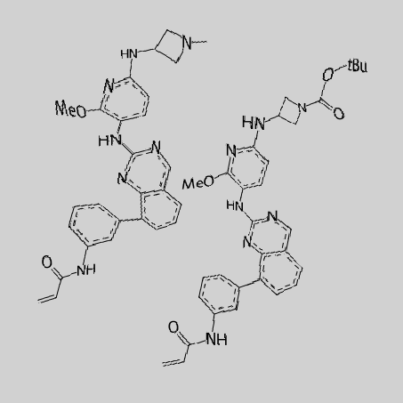 C=CC(=O)Nc1cccc(-c2cccc3cnc(Nc4ccc(NC5CN(C(=O)OC(C)(C)C)C5)nc4OC)nc23)c1.C=CC(=O)Nc1cccc(-c2cccc3cnc(Nc4ccc(NC5CN(C)C5)nc4OC)nc23)c1